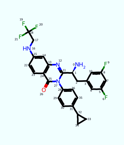 N[C@@H](Cc1cc(F)cc(F)c1)c1nc2cc(NCC(F)(F)F)ccc2c(=O)n1-c1ccc(C2CC2)cc1